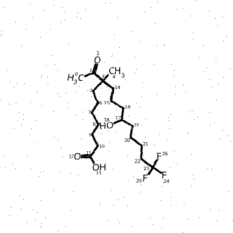 CC(=O)C(C)(CCCCCCC(=O)O)CCCC(O)CCCCC(F)(F)F